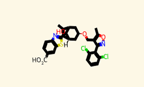 Cc1onc(-c2c(Cl)cccc2Cl)c1CO[C@H]1CC2C(C)C[C@H](C1)[C@@]2(O)c1nc2ccc(C(=O)O)cc2s1